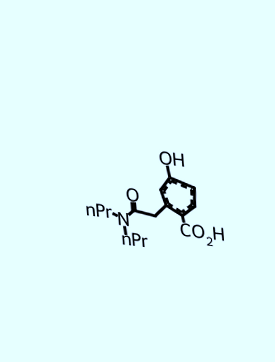 CCCN(CCC)C(=O)Cc1cc(O)ccc1C(=O)O